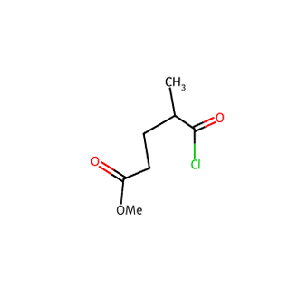 COC(=O)CCC(C)C(=O)Cl